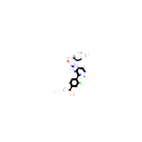 CCC(CC)n1c(OC)nc2c(-c3ccc(C(C)=O)cc3Cl)nccc21